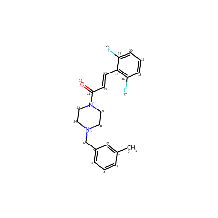 Cc1cccc(CN2CCN(C(=O)C=Cc3c(F)cccc3F)CC2)c1